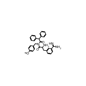 COc1ccc(CN(C(=O)C(N)Cc2cccc(C(=N)N)c2)C(=O)C(c2ccccc2)c2ccccc2)cc1